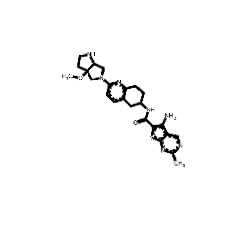 COC12CCNC1CN(c1ccc3c(n1)CCC(NC(=O)c1sc4nc(C)ncc4c1N)C3)C2